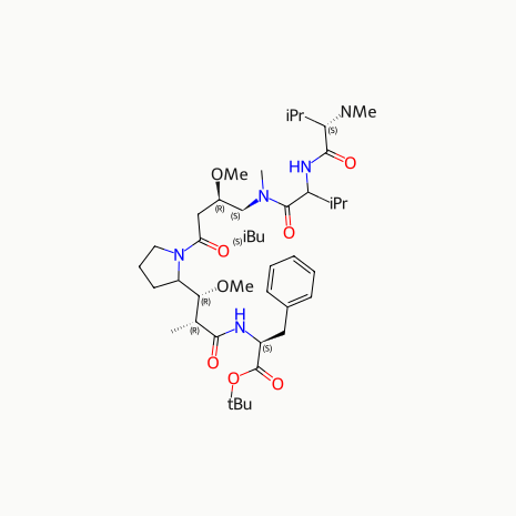 CC[C@H](C)[C@@H]([C@@H](CC(=O)N1CCCC1[C@H](OC)[C@@H](C)C(=O)N[C@@H](Cc1ccccc1)C(=O)OC(C)(C)C)OC)N(C)C(=O)C(NC(=O)[C@@H](NC)C(C)C)C(C)C